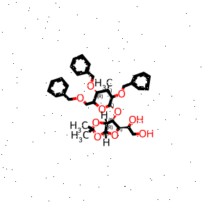 C[C@@H]1C(OCc2ccccc2)[C@H](O[C@@H]2[C@H]3OC(C)(C)O[C@H]3O[C@@H]2C(O)CO)OC(COCc2ccccc2)[C@@H]1OCc1ccccc1